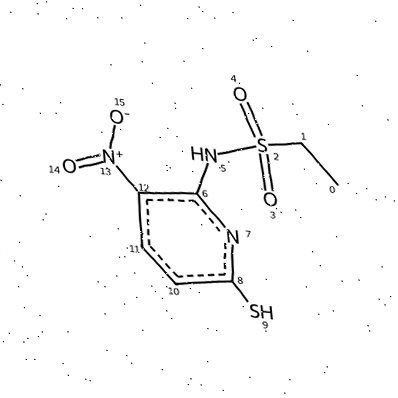 CCS(=O)(=O)Nc1nc(S)ccc1[N+](=O)[O-]